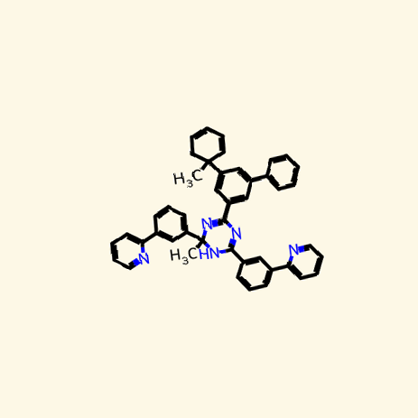 CC1(c2cc(C3=NC(C)(c4cccc(-c5ccccn5)c4)NC(c4cccc(-c5ccccn5)c4)=N3)cc(-c3ccccc3)c2)C=CC=CC1